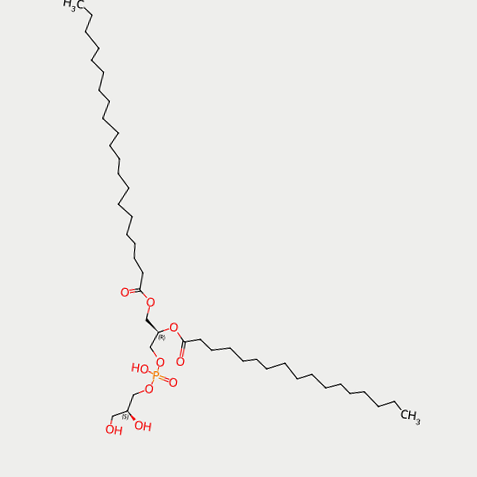 CCCCCCCCCCCCCCCCCCCCC(=O)OC[C@H](COP(=O)(O)OC[C@@H](O)CO)OC(=O)CCCCCCCCCCCCCCCC